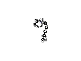 Cc1cc2cc(n1)-c1cnn(C)c1OCCC[C@@H](C)CN1/C(=N/C2=O)Nc2ccc(CN3CCC(N4CCC(c5cc(F)c([C@H]6CCC(=O)NC6=O)c(F)c5)CC4)CC3)cc21